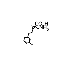 NCC1(C(=O)O)CC1CCc1cccc(F)c1